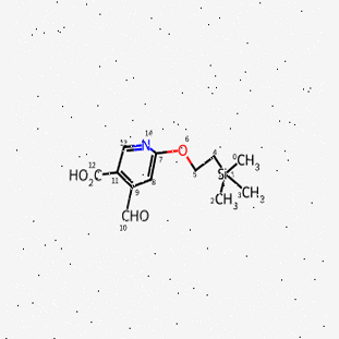 C[Si](C)(C)CCOc1cc(C=O)c(C(=O)O)cn1